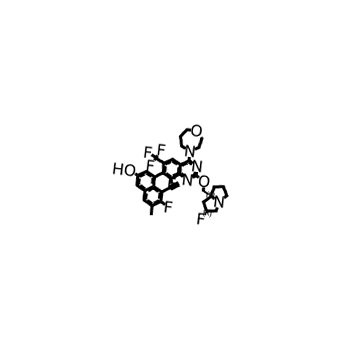 C#Cc1c(F)c(C)cc2cc(O)cc(-c3c(C(F)(F)F)cc4c(N5CCCOCC5)nc(OC[C@@]56CCCN5C[C@H](F)C6)nc4c3F)c12